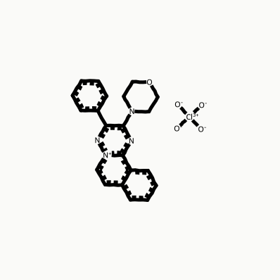 [O-][Cl+3]([O-])([O-])[O-].c1ccc(-c2n[n+]3ccc4ccccc4c3nc2N2CCOCC2)cc1